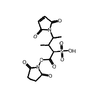 CC(C(C)N1C(=O)C=CC1=O)C(C(=O)ON1C(=O)CCC1=O)S(=O)(=O)O